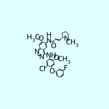 COc1cc2ncnc(Nc3cc(Cl)c(Oc4cccc(F)c4)cc3OC)c2cc1NC(=O)/C=C/[C@H]1CCCN1C